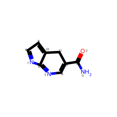 NC(=O)C1=CN=C2N=CC=C2C1